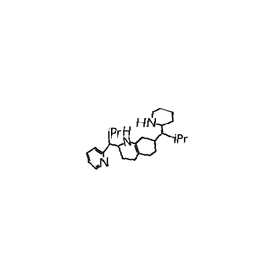 CC(C)C(c1ccccn1)C1CCC2=C(CC(C(C(C)C)C3CCCCN3)CC2)N1